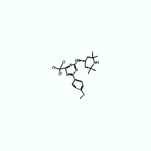 CSc1ccc(-c2nc(NC3CC(C)(C)NC(C)(C)C3)nc(C(Cl)(Cl)Cl)n2)cc1